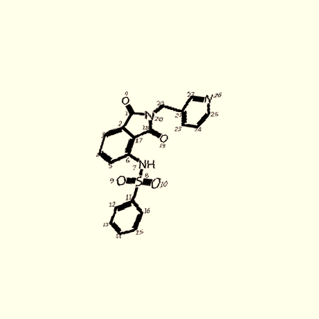 O=C1c2cccc(NS(=O)(=O)c3ccccc3)c2C(=O)N1Cc1cccnc1